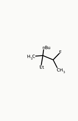 CCCCC(C)(CC)C(C)F